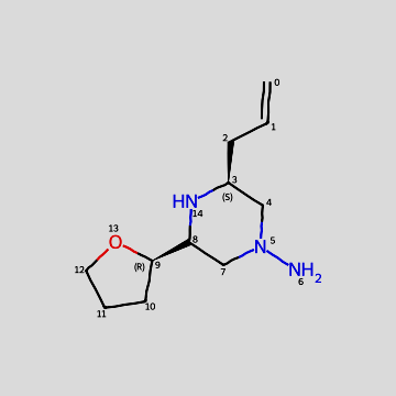 C=CC[C@H]1CN(N)CC([C@H]2CCCO2)N1